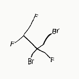 FC(F)C(F)(Br)Br